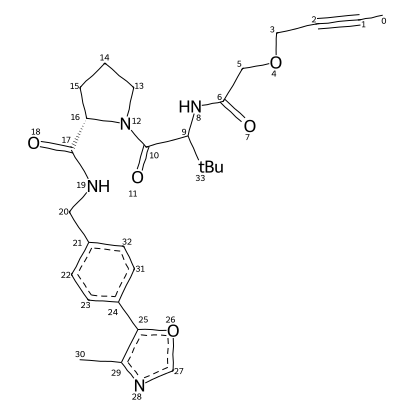 CC#CCOCC(=O)NC(C(=O)N1CCC[C@H]1C(=O)NCc1ccc(-c2ocnc2C)cc1)C(C)(C)C